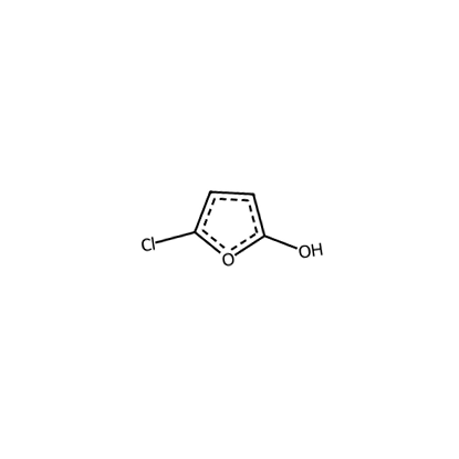 Oc1ccc(Cl)o1